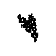 COc1cnc(C(=O)Nc2ccnc(C34CN(c5ncc(F)cn5)CC3CSC(NC(=O)OC(C)(C)C)N4)c2)cn1